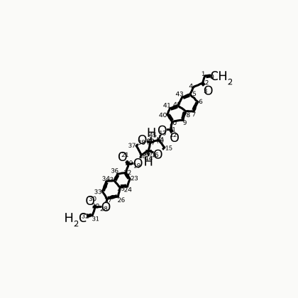 C=CC(=O)Cc1ccc2cc(C(=O)O[C@H]3CO[C@@H]4C(OC(=O)c5ccc6cc(OC(=O)C=C)ccc6c5)CO[C@H]34)ccc2c1